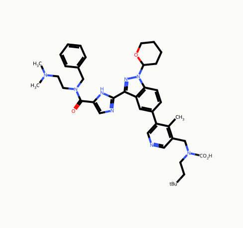 Cc1c(CN(CCC(C)(C)C)C(=O)O)cncc1-c1ccc2c(c1)c(-c1ncc(C(=O)N(CCN(C)C)Cc3ccccc3)[nH]1)nn2C1CCCCO1